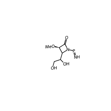 CO[C@H]1C(=O)N(P=N)C1C(O)CO